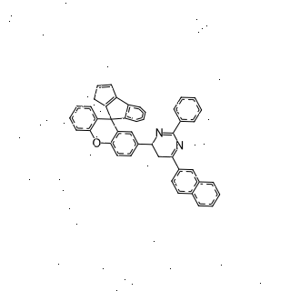 C1=CC2=C(C1)C1(c3ccccc3Oc3ccc(C4CC(c5ccc6ccccc6c5)=NC(c5ccccc5)=N4)cc31)c1ccccc12